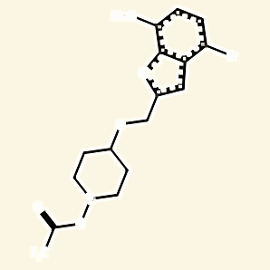 COc1ccc(Br)c2cc(COC3CCN(OC(=O)C(F)(F)F)CC3)oc12